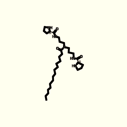 CCCCCCCCCCCCCCCC(=O)N(CCCNC(=O)[C@@H]1CCCN1)CCCNC(=O)[C@@H]1CCCN1